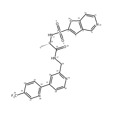 C[C@H](NS(=O)(=O)c1cc2cnccc2o1)C(=O)NCc1cc(-c2ccc(C(F)(F)F)cn2)ccn1